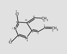 C=N/C=c1/nc(Cl)nc(Cl)/c1=C/C